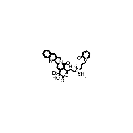 CCC1(O)C(=O)OC(CC[Si](C)(C)CCCn2ccccc2=O)c2c1cc1n(c2=O)Cc2cc3ccccc3nc2-1